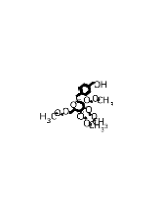 COCOCC1O[C@@H](Cc2ccc(CO)cc2)C(OCOC)[C@H](OCOC)[C@@H]1OCOC